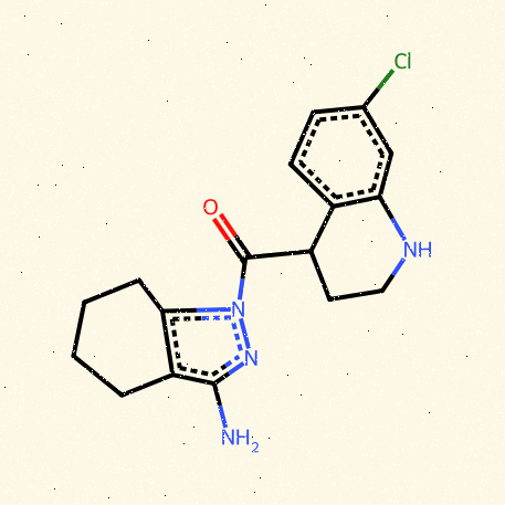 Nc1nn(C(=O)C2CCNc3cc(Cl)ccc32)c2c1CCCC2